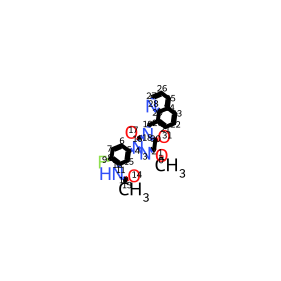 COc1nn(-c2ccc(F)c(NC(C)=O)c2)c(=O)n(Cc2cccc3cccnc23)c1=O